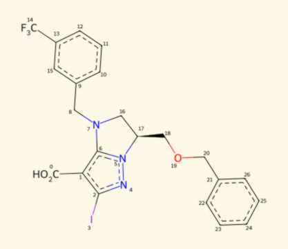 O=C(O)c1c(I)nn2c1N(Cc1cccc(C(F)(F)F)c1)C[C@H]2COCc1ccccc1